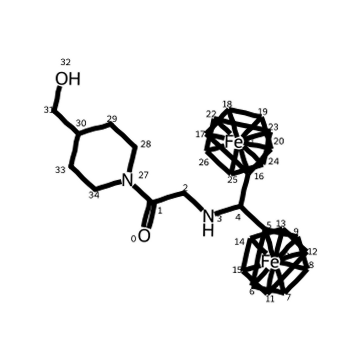 O=C(CNC([C]12[CH]3[CH]4[CH]5[CH]1[Fe]45321678[CH]2[CH]1[CH]6[CH]7[CH]28)[C]12[CH]3[CH]4[CH]5[CH]1[Fe]45321678[CH]2[CH]1[CH]6[CH]7[CH]28)N1CCC(CO)CC1